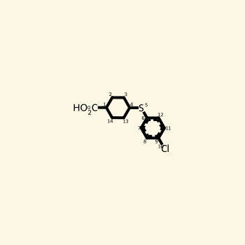 O=C(O)C1CCC(Sc2ccc(Cl)cc2)CC1